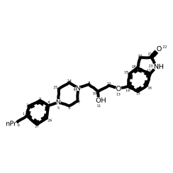 CCCc1ccc(N2CCN(CC(O)COc3ccc4c(c3)CC(=O)N4)CC2)cc1